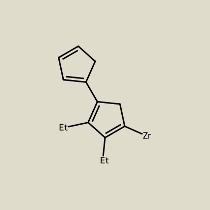 CCC1=[C]([Zr])CC(C2=CC=CC2)=C1CC